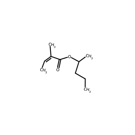 CC=C(C)C(=O)OC(C)CCC